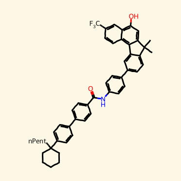 CCCCCC1(c2ccc(-c3ccc(C(=O)Nc4ccc(-c5ccc6c(c5)-c5c(cc(O)c7cc(C(F)(F)F)ccc57)C6(C)C)cc4)cc3)cc2)CCCCC1